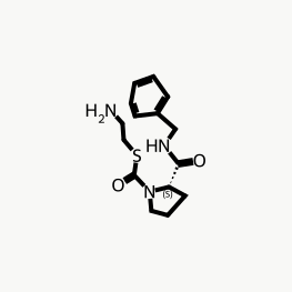 NCCSC(=O)N1CCC[C@H]1C(=O)NCc1ccccc1